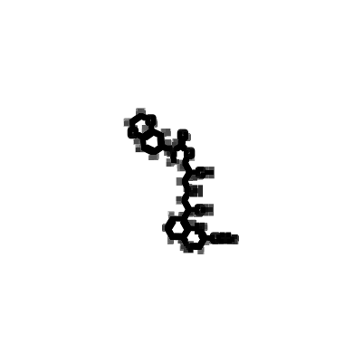 COc1cnc2cccc([C@H](O)CNC[C@H](O)[C@@H]3CN(c4ccc5c(c4)OCCO5)C(=O)O3)c2n1